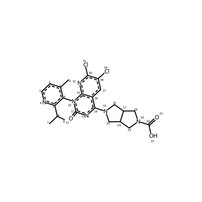 Cc1ccnc(C(C)C)c1-n1c(=O)nc(N2CC3CN(C(=O)O)CC3C2)c2cc(Cl)c(Cl)nc21